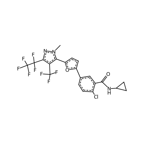 Cn1nc(C(F)(F)C(F)(F)F)c(C(F)(F)F)c1-c1ccc(-c2ccc(Cl)c(C(=O)NC3CC3)c2)o1